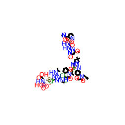 C#CCN1C(=O)COc2cc(F)c(/N=c3\snc4n3CC(C)(C)C4)cc21.CC1COc2ccccc2N1C(=O)C(Cl)Cl.CCNc1nc(Cl)nc(NC(C)C)n1.COc1cc(OC)nc(NC(=O)NS(=O)(=O)c2ncccc2C(=O)N(C)C)n1.C[S+](C)C.O=C(O)CNCP(=O)([O-])O